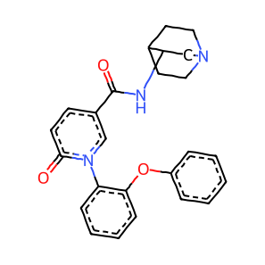 O=C(NC1CN2CCC1CC2)c1ccc(=O)n(-c2ccccc2Oc2ccccc2)c1